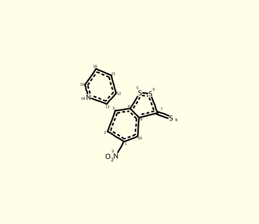 O=[N+]([O-])c1ccc2ssc(=S)c2c1.c1ccncc1